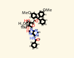 COc1ccc(C(OC[C@H]2O[C@@H](n3cnc4c(NC(=O)c5ccccc5)ncnc43)[C@@](O)([Si](C)(C)C(C)(C)C)[C@@H]2O)(c2ccccc2)c2ccc(OC)cc2)cc1